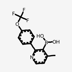 Cc1ccnc(-c2ccc(OC(F)(F)F)cc2)c1B(O)O